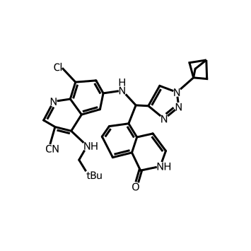 CC(C)(C)CNc1c(C#N)cnc2c(Cl)cc(NC(c3cn(C45CC(C4)C5)nn3)c3cccc4c(=O)[nH]ccc34)cc12